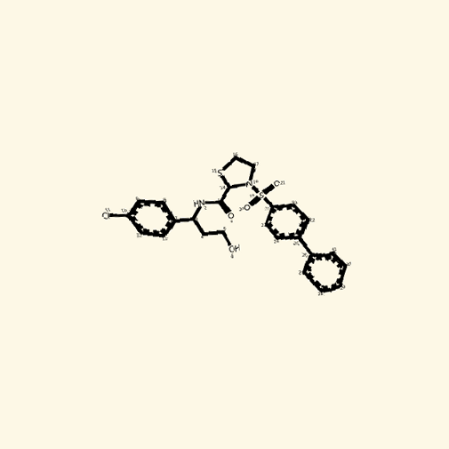 O=C(NC(CCO)c1ccc(Cl)cc1)C1SCCN1S(=O)(=O)c1ccc(-c2ccccc2)cc1